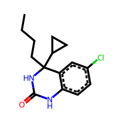 CCCCC1(C2CC2)NC(=O)Nc2ccc(Cl)cc21